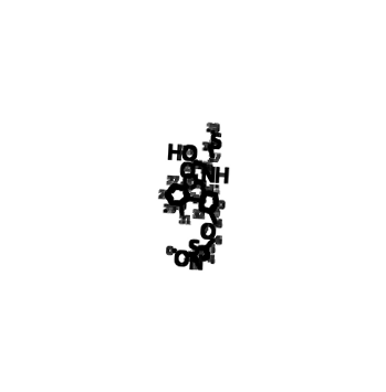 COc1ncc(COCc2ccc(C(=O)N[C@@H](CCSC)C(=O)O)c(-c3ccccc3C)c2)s1